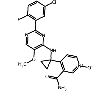 COc1cnc(-c2cc(Cl)ccc2F)nc1NC1(c2cc[n+]([O-])cc2C(N)=O)CC1